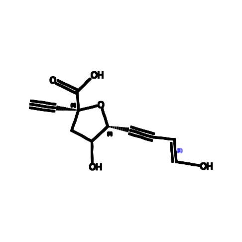 C#C[C@@]1(C(=O)O)CC(O)[C@@H](C#C/C=C/O)O1